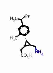 Cc1cc([C@@H](C)C(C)C)ccc1[C@@H]1C(CN)C1CC(=O)O